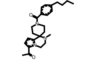 CCCCc1ccc(C(=O)N2CCC3(CC2)c2ccc(C(C)=O)n2CCN3C)cc1